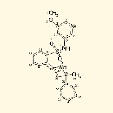 COc1cncc(NS(=O)(=O)c2ccccc2C2=CC(C)(c3ccccc3)N2)c1